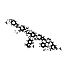 COc1cc(CN2CCN(C3CC4(CCN(c5ccc(C(=O)NS(=O)(=O)c6cnc(NCC7CCC(C)(O)CC7)c([N+](=O)[O-])c6)c(Oc6cc7c(F)c[nH]c7nc6OC)c5)CC4)C3)[C@H](c3ccccc3C(C)C)C2)cc(N)n1